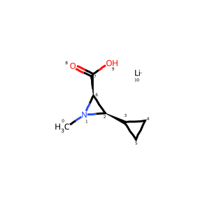 CN1[C@H](C2CC2)[C@@H]1C(=O)O.[Li]